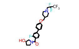 O=C(c1ccc(-c2ccc(OCC3CCN(CC(F)(F)C(F)(F)F)CC3)cc2)cc1F)N1CC[C@@H](O)C1